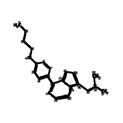 CCCCOc1ccc(-c2nccn3c(CN(C)C)ccc23)cc1